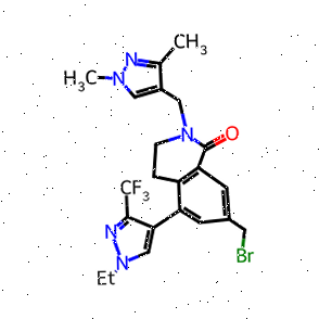 CCn1cc(-c2cc(CBr)cc3c2CCN(Cc2cn(C)nc2C)C3=O)c(C(F)(F)F)n1